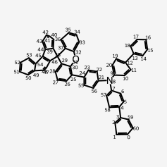 c1ccc(-c2ccc(N(c3ccc(-c4ccccc4)cc3)c3ccc(-c4cccc5c4Oc4ccccc4C54c5ccccc5-c5c4ccc4ccccc54)cc3)cc2)cc1